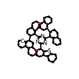 c1ccc2c(-c3ccc4ccccc4c3-c3nc(-c4c(-c5cc6ccccc6c6ccccc56)ccc5ccccc45)nc(-c4cccc5c4sc4ccccc45)n3)cccc2c1